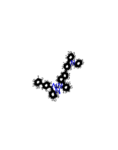 c1ccc(-c2ccc(-c3nc(-n4c5ccccc5c5c6ccc(-c7ccc8c9ccccc9n(-c9ccccc9)c8c7)cc6ccc54)nc4ccccc34)cc2)cc1